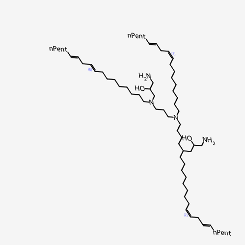 CCCCCC=CC/C=C\CCCCCCCCC(CCCCN(CCCCCCCC/C=C\CC=CCCCCC)CCCN(CCCCCCCC/C=C/CC=CCCCCC)CC(O)CN)CC(O)CN